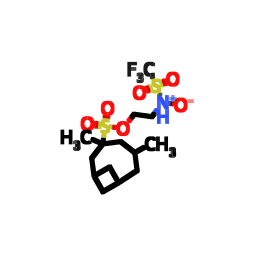 CC1CC2CC(C2)CC(C)(S(=O)(=O)OCC[NH+]([O-])S(=O)(=O)C(F)(F)F)C1